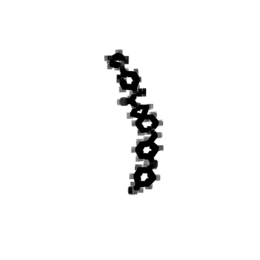 O=C(Nc1ccc(-n2cncn2)nc1)N1CC2(CCN(Cc3cccc(Oc4ccc(Cl)cc4)c3)CC2)C1